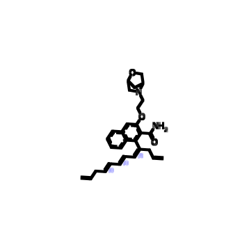 C=CC/C=C/C=C/C=C(/CC=C)c1c(C(N)=O)c(OCCN2CC3CC2CO3)cc2ccccc12